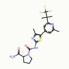 Cc1cc(-c2sc(NC(=O)N3CCCC3C(N)=O)nc2C)cc(C(C)(C)C(F)(F)F)n1